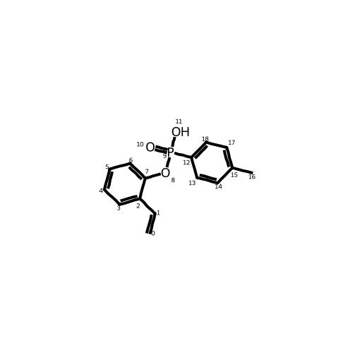 C=Cc1ccccc1OP(=O)(O)c1ccc(C)cc1